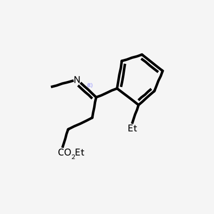 CCOC(=O)CC/C(=N\C)c1ccccc1CC